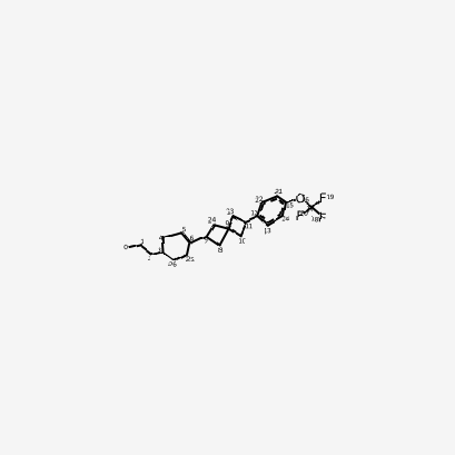 CCCC1CCC(C2CC3(CC(c4ccc(OC(F)(F)F)cc4)C3)C2)CC1